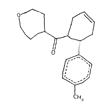 Cc1ccc([C@H]2CC=CCC2C(=O)C2CCOCC2)cc1